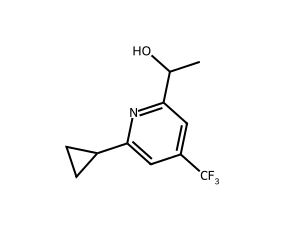 CC(O)c1cc(C(F)(F)F)cc(C2CC2)n1